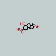 CC1(C)C(O)CCC2(C)C3CC=C(C(=O)O)CC(O)C3CCC12